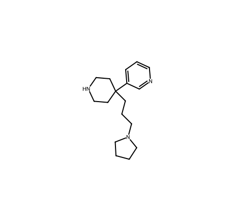 c1cncc(C2(CCCN3CCCC3)CCNCC2)c1